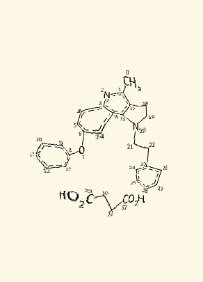 Cc1nc2ccc(Oc3ccccc3)cc2c2c1CCN2CCc1ccccc1.O=C(O)CCC(=O)O